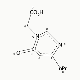 CCCc1cc(=O)n(CC(=O)O)cn1